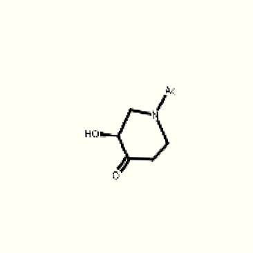 CC(=O)N1CCC(=O)[C@@H](O)C1